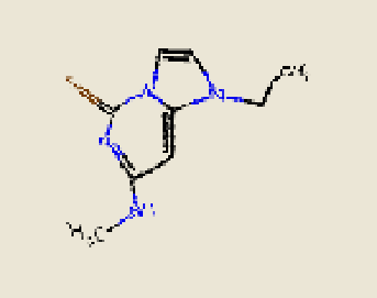 CCn1ccn2c(=S)nc(NC)cc12